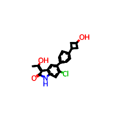 C/C(O)=C1\C(=O)Nc2cc(Cl)c(-c3ccc(C4CC(O)C4)cc3)cc21